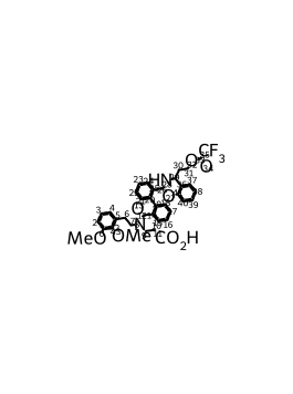 COc1cccc(CCN(CCC(=O)O)C(=O)c2ccccc2-c2ccccc2C(=O)NC(CCOC(=O)C(F)(F)F)c2ccccc2)c1OC